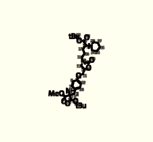 COC(=O)C(N)(Cc1ccc(OCC2CN(CCCC(C(=O)OC(C)(C)C)N3CCCCC3)C(=O)O2)cc1)C(=O)OC(C)(C)C